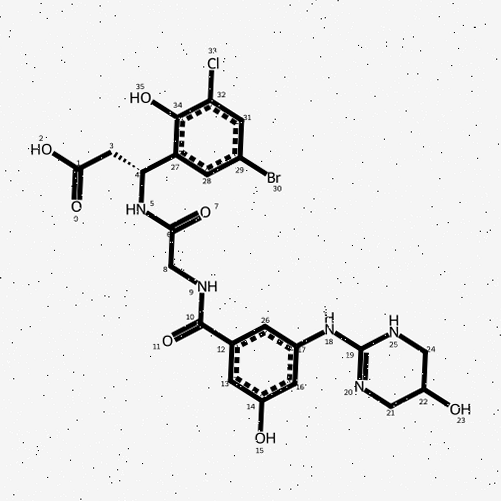 O=C(O)C[C@@H](NC(=O)CNC(=O)c1cc(O)cc(NC2=NCC(O)CN2)c1)c1cc(Br)cc(Cl)c1O